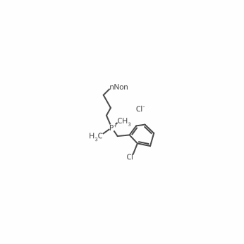 CCCCCCCCCCCC[P+](C)(C)Cc1ccccc1Cl.[Cl-]